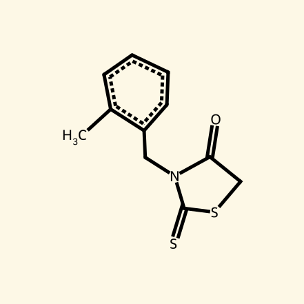 Cc1ccccc1CN1C(=O)CSC1=S